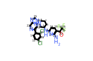 Nc1nc(NC2CCCN([N+]34C=C(c5ccc(Cl)cc5Cl)N=CC3=NC=N4)C2)ccc1C(=O)C(F)(F)F